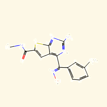 CCNC(=O)c1cc2c(C(=NO)c3cccc(OC)c3)nc(N)nc2s1